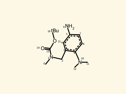 CN(Cc1cc(N)ccc1N(C)C)C(=O)OC(C)(C)C